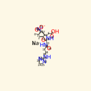 Cc1ccc(C(CC(=O)O)NC(=O)CNC(=O)CCCNc2ncccn2)cc1[N+](=O)[O-].[Na]